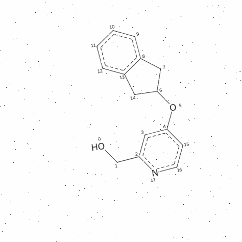 OCc1cc(OC2Cc3ccccc3C2)ccn1